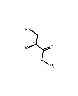 CC[C@H](O)C(=O)OC